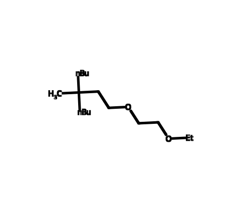 CCCCC(C)(CCCC)CCOCCOCC